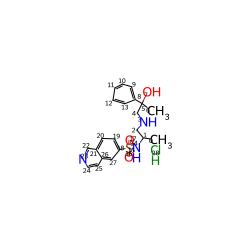 CC(CNCC(C)(O)c1ccccc1)NS(=O)(=O)c1ccc2cnccc2c1.Cl